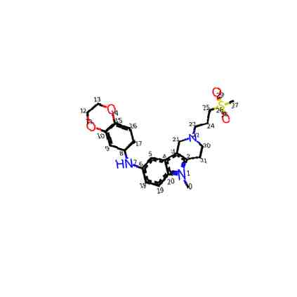 Cn1c2c(c3cc(NC4C=C5OCCOC5=CC4)ccc31)CN(CCCS(C)(=O)=O)CC2